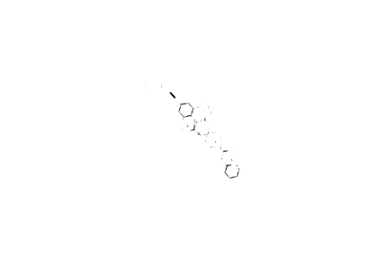 CC#Cc1cc(C)c(C2C(=O)CC3(CCN(C(=O)Cc4ccccn4)CC3)CC2=O)c(C)c1